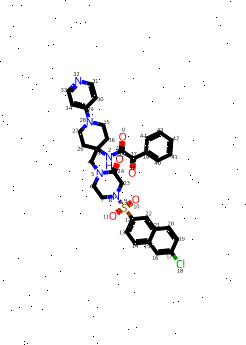 O=C(NC1(CN2CCN(S(=O)(=O)c3ccc4cc(Cl)ccc4c3)CC2=O)CCN(c2ccncc2)CC1)C(=O)c1ccccc1